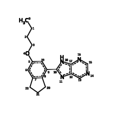 CCCCOc1cc2c(c(-c3nc4cncnc4[nH]3)c1)CCC2